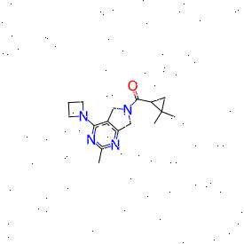 Cc1nc2c(c(N3CCC3)n1)CN(C(=O)C1CC1(C)C)C2